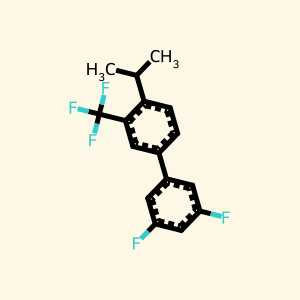 CC(C)c1ccc(-c2cc(F)cc(F)c2)cc1C(F)(F)F